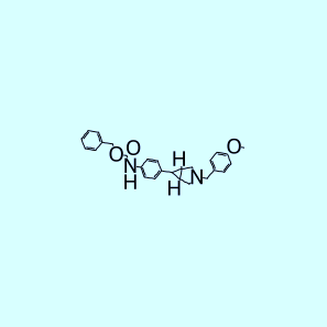 COc1ccc(CN2C[C@@H]3C(c4ccc(NC(=O)OCc5ccccc5)cc4)[C@@H]3C2)cc1